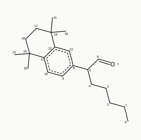 CCCCCC(C=O)c1ccc2c(c1)C(C)(C)CCC2(C)C